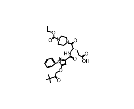 CCOC(=O)N1CCN(C(=O)[C@H](CCC(=O)O)NC(=O)c2cc(OCC(=O)C(C)(C)C)n(-c3ccccc3)n2)CC1